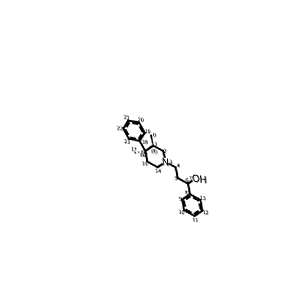 C[C@H]1CN(CCC(O)c2ccccc2)CC[C@@]1(C)c1ccccc1